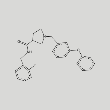 O=C(NCc1ccccc1F)C1CCN(Cc2cccc(Oc3ccccc3)c2)C1